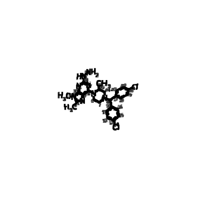 Cc1nc2c(N3CCN(C(c4ccc(Cl)cc4)c4ccc(Cl)cc4)CC3C)nc(NN)nc2n1C